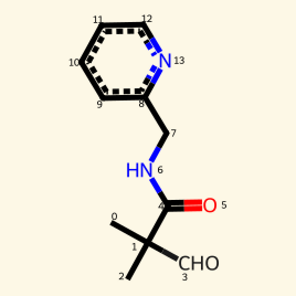 CC(C)(C=O)C(=O)NCc1ccccn1